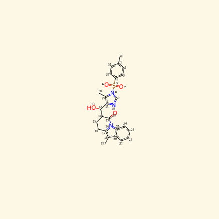 Cc1ccc(S(=O)(=O)n2cnc(C(O)C3CCc4c(C)c5ccccc5n4C3=O)c2C)cc1